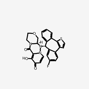 O=C1c2c(O)c(=O)ccn2N([C@@H]2c3cc(F)ccc3-c3ccsc3-c3ccccc32)[C@@H]2COCCN12